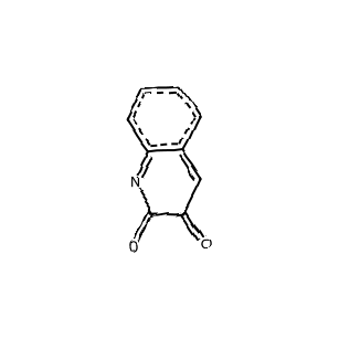 O=C1C=c2ccccc2=NC1=O